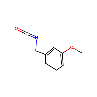 COC1=CCCC(CN=C=O)=C1